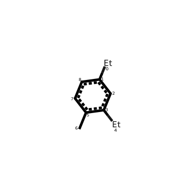 CCc1[c]c(CC)c(C)cc1